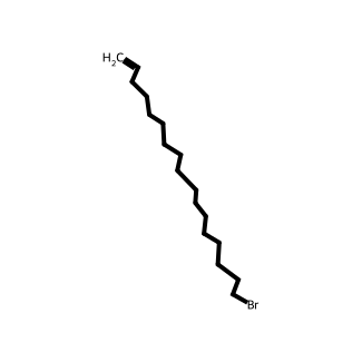 C=CCCCCCCCCCCCCCCCBr